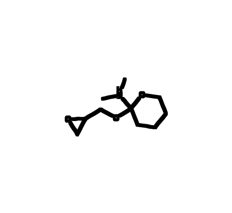 C[SiH](C)C1(OCC2CO2)CCCCO1